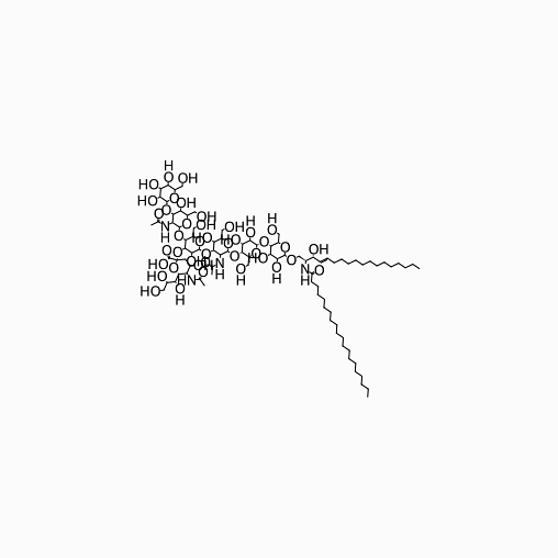 CCCCCCCCCCCCC/C=C/[C@@H](O)[C@H](CO[C@@H]1OC(CO)[C@@H](O[C@@H]2OC(CO)[C@H](O[C@@H]3OC(CO)[C@H](O)[C@H](O[C@@H]4OC(CO)[C@H](O[C@@H]5OC(CO)[C@H](O)[C@H](O[C@@H]6OC(CO)[C@H](O)[C@H](O)C6O)C5NC(C)=O)[C@H](O[C@]5(C(=O)O)CC(O)[C@@H](NC(C)=O)C([C@H](O)[C@H](O)CO)O5)C4O)C3NC(C)=O)[C@H](O)C2O)[C@H](O)C1O)NC(=O)CCCCCCCCCCCCCCCCCCC